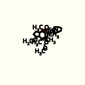 COCO[C@@H]1C[C@@](C)(SC2CC3CCC(C2)N3C)C(=O)[C@H](C)C23CC[C@@H](C)[C@]1(C)C2[C@H](OC)CC3